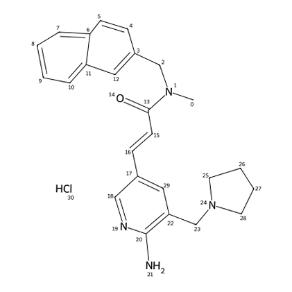 CN(Cc1ccc2ccccc2c1)C(=O)/C=C/c1cnc(N)c(CN2CCCC2)c1.Cl